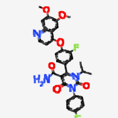 COc1cc2nccc(Oc3ccc(-c4c(C(N)=O)c(=O)n(-c5ccc(F)cc5)c(=O)n4C(C)C)cc3F)c2cc1OC